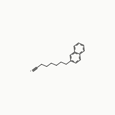 [C]#CCCCCCCc1ccc2ccccc2c1